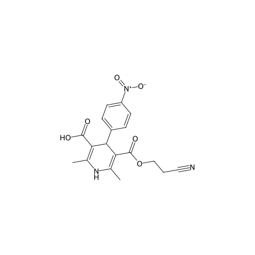 CC1=C(C(=O)O)C(c2ccc([N+](=O)[O-])cc2)C(C(=O)OCCC#N)=C(C)N1